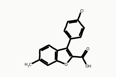 Cc1ccc2c(-c3ccc(Cl)cc3)c(C(=O)O)oc2c1